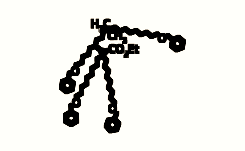 CCOC(=O)C1C(C(CCCCCOCc2ccccc2)CCCC(C)(C)CCCCCCCCCOCc2ccccc2)C1(CCCCCCCCCOCc1ccccc1)CCCCCCCCCOCc1ccccc1